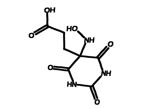 O=C(O)CCC1(NO)C(=O)NC(=O)NC1=O